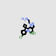 Cl.Cl.NCCn1ncc2c1C(C1(c3ccc(Cl)cc3)CCC1)NCC2